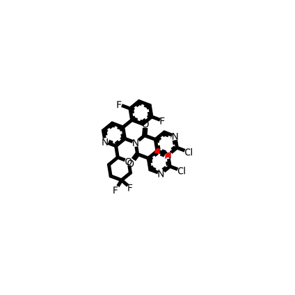 O=C(c1cnc(Cl)nc1)N(C(=O)c1cnc(Cl)nc1)c1c(-c2cc(F)ccc2F)ccnc1C1CCC(F)(F)CO1